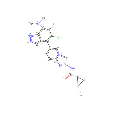 CN(C)c1c(F)c(Cl)c(-c2ccc3nc(NC(=O)[C@@H]4C[C@@H]4F)cn3c2)c2cn[nH]c12